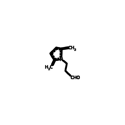 C=c1ccc(=C)n1CCC=O